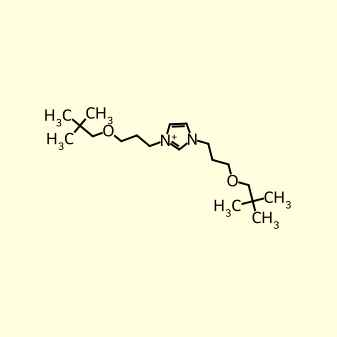 CC(C)(C)COCCCn1cc[n+](CCCOCC(C)(C)C)c1